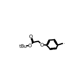 [CH2]c1ccc(OCC(=O)OC(C)(C)C)cc1